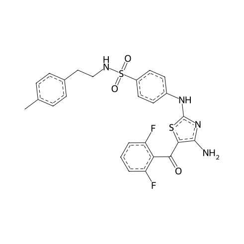 Cc1ccc(CCNS(=O)(=O)c2ccc(Nc3nc(N)c(C(=O)c4c(F)cccc4F)s3)cc2)cc1